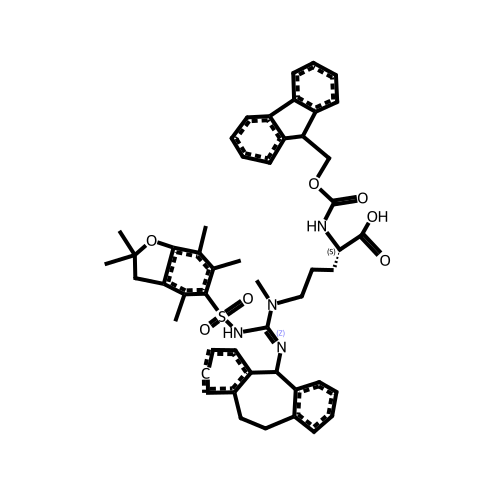 Cc1c(C)c(S(=O)(=O)N/C(=N\C2c3ccccc3CCc3ccccc32)N(C)CCC[C@H](NC(=O)OCC2c3ccccc3-c3ccccc32)C(=O)O)c(C)c2c1OC(C)(C)C2